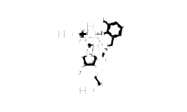 C=CCO[C@H]1[C@@H](C(=O)NCc2cccc(Cl)c2F)N(C(=O)OC(C)(C)C)C[C@@H]1F